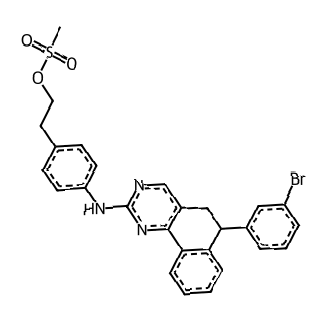 CS(=O)(=O)OCCc1ccc(Nc2ncc3c(n2)-c2ccccc2C(c2cccc(Br)c2)C3)cc1